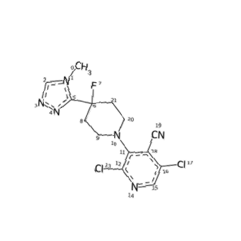 Cn1cnnc1C1(F)CCN(c2c(Cl)ncc(Cl)c2C#N)CC1